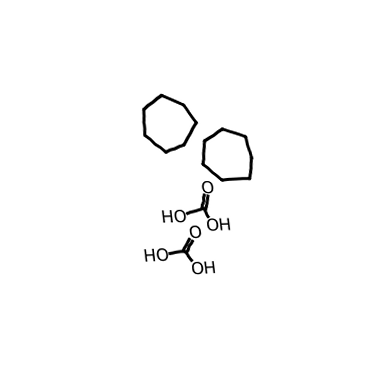 C1CCCCCC1.C1CCCCCC1.O=C(O)O.O=C(O)O